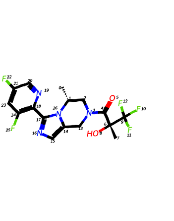 C[C@@H]1CN(C(=O)[C@@](C)(O)C(F)(F)F)Cc2cnc(-c3ncc(F)cc3F)n21